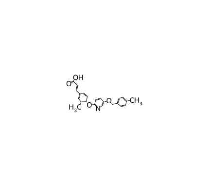 Cc1ccc(COc2ccc(Oc3ccc(C=CC(=O)O)cc3C)nc2)cc1